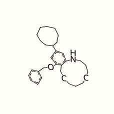 c1ccc(COc2cc(C3CCCCCCCC3)cc3c2CCCCCCCCCN3)cc1